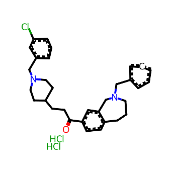 Cl.Cl.O=C(CCC1CCN(Cc2cccc(Cl)c2)CC1)c1ccc2c(c1)CN(Cc1ccccc1)CCC2